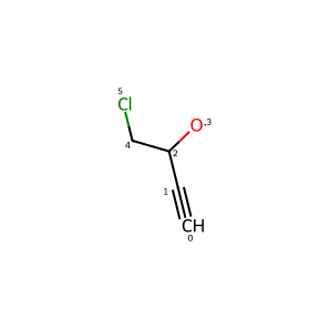 C#CC([O])CCl